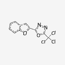 ClC(Cl)(Cl)c1nnc(-c2cc3ccccc3o2)o1